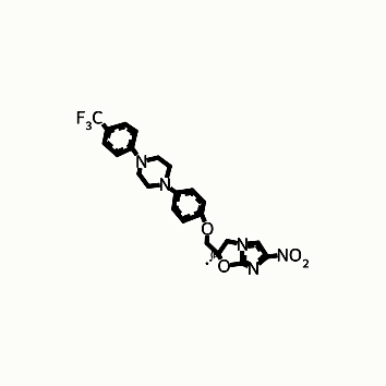 C[C@]1(COc2ccc(N3CCN(c4ccc(C(F)(F)F)cc4)CC3)cc2)Cn2cc([N+](=O)[O-])nc2O1